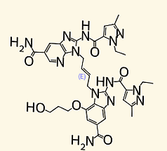 CCn1nc(C)cc1C(=O)Nc1nc2cc(C(N)=O)cnc2n1C/C=C/Cn1c(NC(=O)c2cc(C)nn2CC)nc2cc(C(N)=O)cc(OCCCO)c21